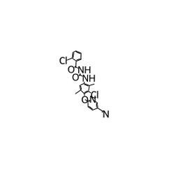 Cc1cc(NC(=O)NC(=O)c2ccccc2Cl)c(C)c(Cl)c1Oc1ccc(C#N)cn1